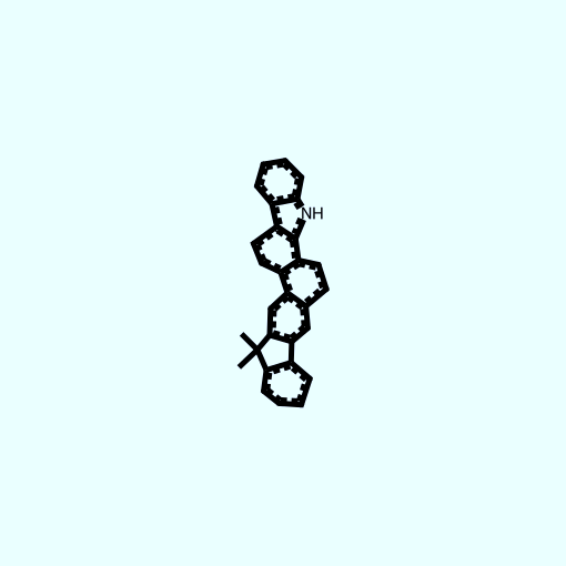 CC1(C)c2ccccc2-c2cc3ccc4c(ccc5c6ccccc6[nH]c54)c3cc21